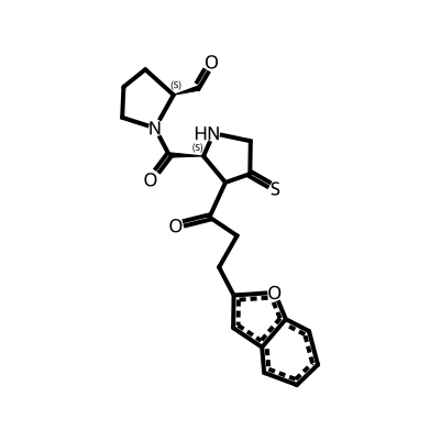 O=C[C@@H]1CCCN1C(=O)[C@H]1NCC(=S)C1C(=O)CCc1cc2ccccc2o1